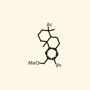 COCc1cc2c(cc1C(C)C)CCC1C(C)(C(C)=O)CCCC21C